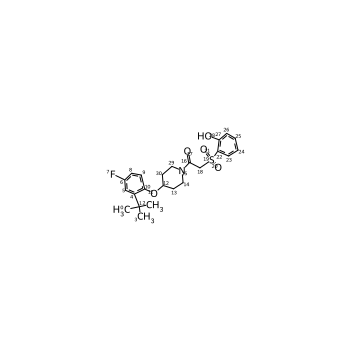 CC(C)(C)c1cc(F)ccc1OC1CCN(C(=O)CS(=O)(=O)c2ccccc2O)CC1